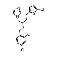 Clc1ccc(CSC(CCc2ccc(Cl)s2)Cn2ccnc2)c(Cl)c1